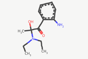 CCN(CC)C(C)(O)C(=O)c1ccccc1N